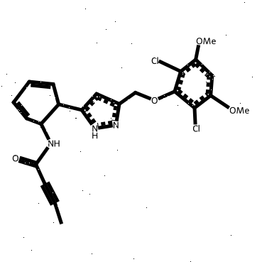 CC#CC(=O)NC1C=CC=CC1c1cc(COc2c(Cl)c(OC)cc(OC)c2Cl)n[nH]1